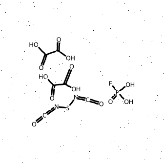 O=C(O)C(=O)O.O=C(O)C(=O)O.O=C=NSN=C=O.O=P(O)(O)F